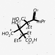 CCCC(=O)C(CC)(C(=O)O)C(O)(C(=O)O)C(CC)(CC)C(=O)O